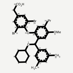 COc1cc(C(OC2CCCCC2)c2cc(C)cc(C)c2)c(Oc2c(Br)cc(CC(=O)O)cc2Br)cc1C(C)C